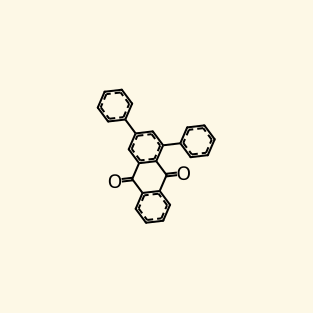 O=C1c2ccccc2C(=O)c2c1cc(-c1ccccc1)cc2-c1ccccc1